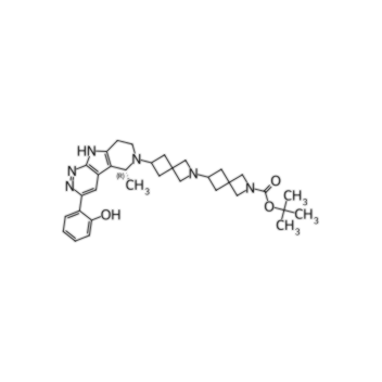 C[C@@H]1c2c([nH]c3nnc(-c4ccccc4O)cc23)CCN1C1CC2(C1)CN(C1CC3(C1)CN(C(=O)OC(C)(C)C)C3)C2